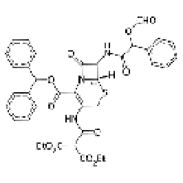 CCOC(=O)C(C(=O)NC1=C(C(=O)OC(c2ccccc2)c2ccccc2)N2C(=O)C(NC(=O)C(OC=O)c3ccccc3)[C@@H]2SC1)C(=O)OCC